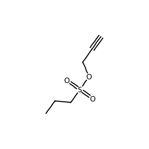 C#CCOS(=O)(=O)CCC